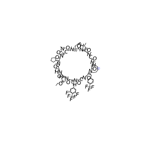 C#CC[C@H]1C(=O)N[C@@H]([C@@H](C)CC)C(=O)N(C)CC(=O)N(C)[C@H]2C/C=C\CCN(C2=O)[C@@H](Cc2ccc(C(F)(F)F)cc2)C(=O)N(C)CC(=O)N[C@@H](CCc2cc(F)c(C(F)(F)F)c(F)c2)C(=O)N2C[C@H](OCC)C[C@H]2C(=O)NC2(CCC2)C(=O)N(C)[C@@H](C2CCCC2)C(=O)N(C)[C@H](C(=O)N(C)C)CC(=O)N1C